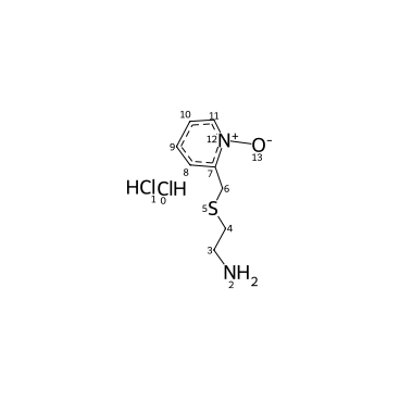 Cl.Cl.NCCSCc1cccc[n+]1[O-]